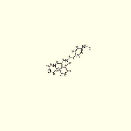 Nc1ccc(CCN(CCCN2CCOCC2)Cc2ccccc2)cc1